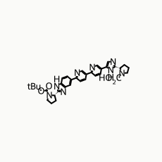 CC(C)(C)OC(=O)N1CCC[C@H]1c1nc2cc(-c3ccc(-c4ccc(-c5cnc([C@@H]6CCCN6C(=O)O)[nH]5)cn4)cn3)ccc2[nH]1